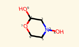 OC1CN(O)CCO1